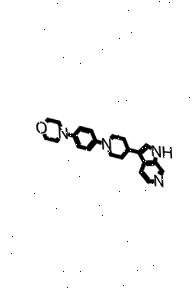 c1cc2c(C3CCN(c4ccc(N5CCOCC5)cc4)CC3)c[nH]c2cn1